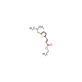 CCOC(=O)/C=C/c1ccc(CN(C)C)s1